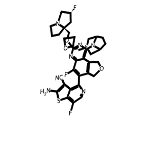 N#Cc1c(N)sc2c(F)cnc(-c3c4c(c5c(N6C7CCC6CN(C[C@H]6CCO6)C7)nc(OC[C@@]67CCCN6C[C@H](F)C7)nc5c3F)COC4)c12